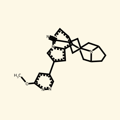 COc1cc(-c2cc3c(N4CC5CCC(C4)N5C4CC(C#N)C4)ccnn3c2)cnn1